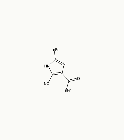 CCCC(=O)c1nc(CCC)[nH]c1C#N